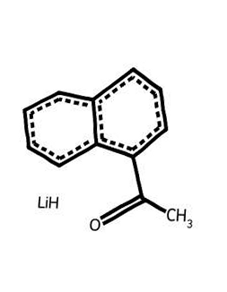 CC(=O)c1cccc2ccccc12.[LiH]